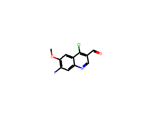 COc1cc2c(Cl)c(C=O)cnc2cc1I